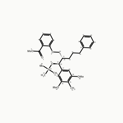 COC(=O)c1ccccc1OC[C@H](CCCc1ccccc1)[C@H](O[Si](C)(C)C(C)(C)C)c1cc(OC)c(C)c(OC)c1